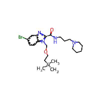 C[Si](C)(C)CCOCn1c(C(=O)NCCCN2CCCCC2)nc2cc(Br)ccc21